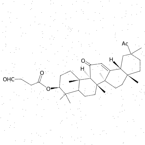 CC(=O)C1(C)CC[C@]2(C)CC[C@]3(C)C(=CC(=O)[C@@H]4[C@@]5(C)CC[C@H](OC(=O)CCC=O)C(C)(C)C5CC[C@]43C)[C@@H]2C1